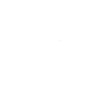 Clc1ccccc1C1OC1COCc1ccccc1